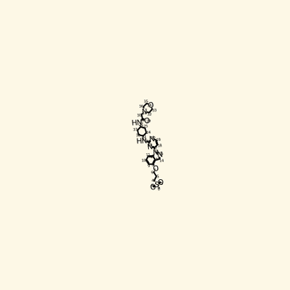 CS(=O)(=O)CCCOc1cccc2c1cnn2-c1ccnc(N[C@H]2CC[C@H](NC(=O)CN3CCOCC3)CC2)n1